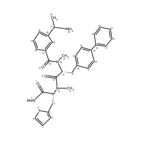 CNC(=O)[C@@H](Cc1cccs1)N(C)C(=O)[C@@H](Cc1ccc(-c2ccccc2)cc1)N(C)C(=O)c1cccc(C(C)N)c1